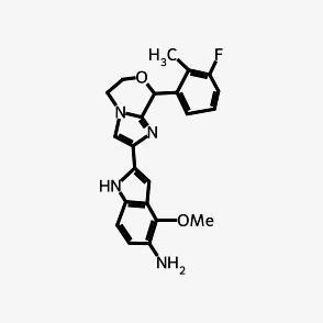 COc1c(N)ccc2[nH]c(-c3cn4c(n3)C(c3cccc(F)c3C)OCC4)cc12